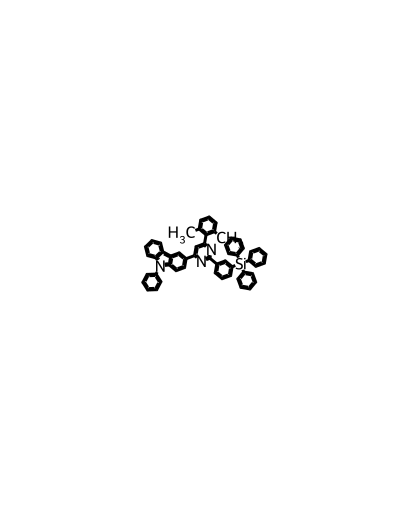 Cc1cccc(C)c1-c1cc(-c2ccc3c(c2)c2ccccc2n3-c2ccccc2)nc(-c2cccc([Si](c3ccccc3)(c3ccccc3)c3ccccc3)c2)n1